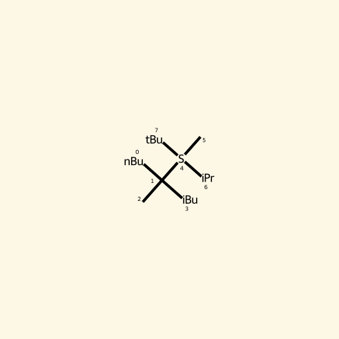 CCCCC(C)(C(C)CC)S(C)(C(C)C)C(C)(C)C